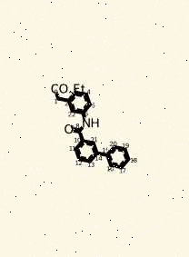 CCOC(=O)Cc1cccc(NC(=O)c2cccc(-c3ccccc3)c2)c1